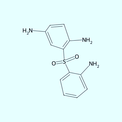 Nc1ccc(N)c(S(=O)(=O)c2ccccc2N)c1